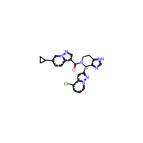 O=C(c1cnn2cc(C3CC3)ccc12)N1CCc2[nH]cnc2[C@H]1c1cc2c(Cl)cccn2n1